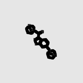 O=C(c1nsc2cc(N3CCN4CCC3CC4)ccc12)N1CCN2CCC1CC2